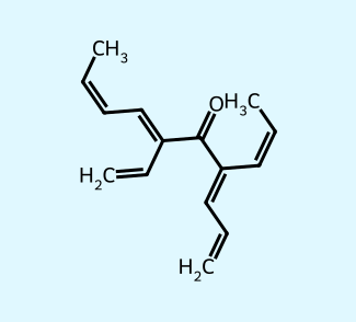 C=C/C=C(\C=C/C)C(=O)/C(C=C)=C/C=C\C